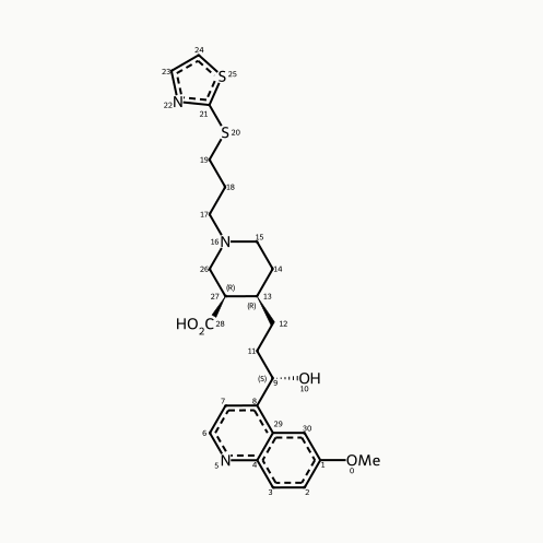 COc1ccc2nccc([C@@H](O)CC[C@@H]3CCN(CCCSc4nccs4)C[C@@H]3C(=O)O)c2c1